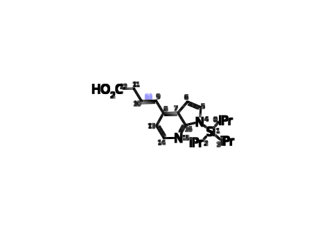 CC(C)[Si](C(C)C)(C(C)C)n1ccc2c(/C=C/CC(=O)O)ccnc21